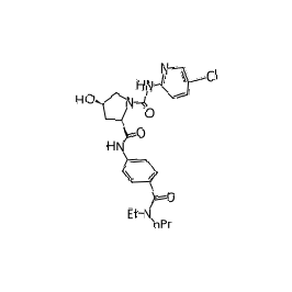 CCCN(CC)C(=O)c1ccc(NC(=O)[C@H]2C[C@@H](O)CN2C(=O)Nc2ccc(Cl)cn2)cc1